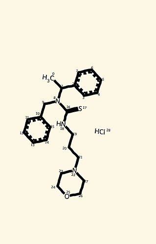 CC(c1ccccc1)N(Cc1ccccc1)C(=S)NCCCN1CCOCC1.Cl